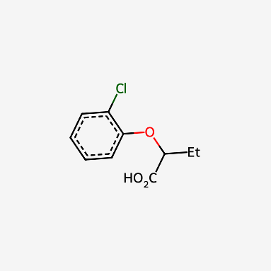 CCC(Oc1ccccc1Cl)C(=O)O